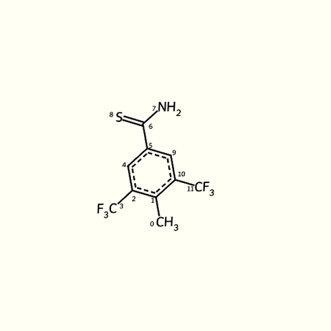 Cc1c(C(F)(F)F)cc(C(N)=S)cc1C(F)(F)F